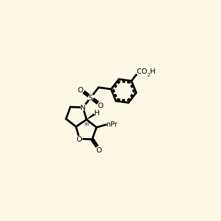 CCCC1C(=O)OC2CCN(S(=O)(=O)Cc3cccc(C(=O)O)c3)[C@@H]21